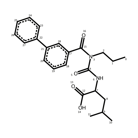 CCCN(C(=O)NC(CC(C)C)C(=O)O)C(=O)c1cccc(-c2ccccc2)c1